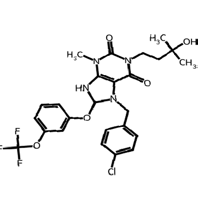 Cn1c2c(c(=O)n(CCC(C)(C)O)c1=O)N(Cc1ccc(Cl)cc1)C(Oc1cccc(OC(F)(F)F)c1)N2